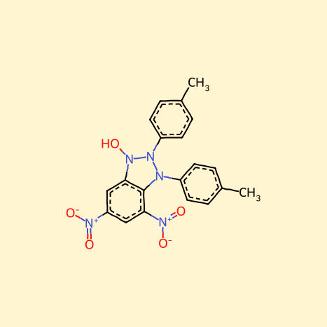 Cc1ccc(N2c3c(cc([N+](=O)[O-])cc3[N+](=O)[O-])N(O)N2c2ccc(C)cc2)cc1